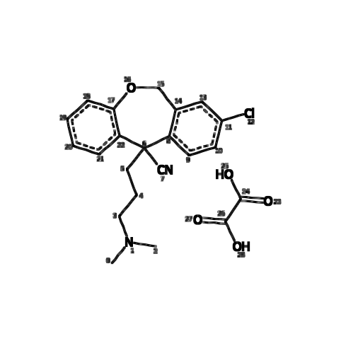 CN(C)CCCC1(C#N)c2ccc(Cl)cc2COc2ccccc21.O=C(O)C(=O)O